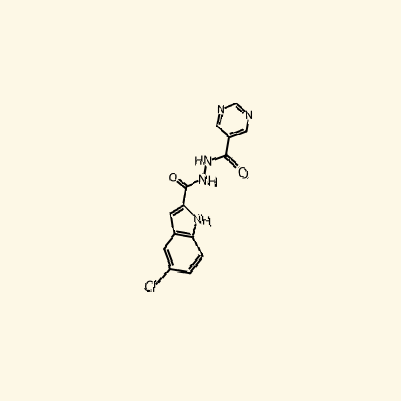 O=C(NNC(=O)c1cc2cc(Cl)ccc2[nH]1)c1cncnc1